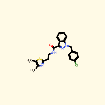 Cc1nc(CCNC(=O)c2nn(Cc3ccc(Cl)cc3)c3ccccc23)sc1C